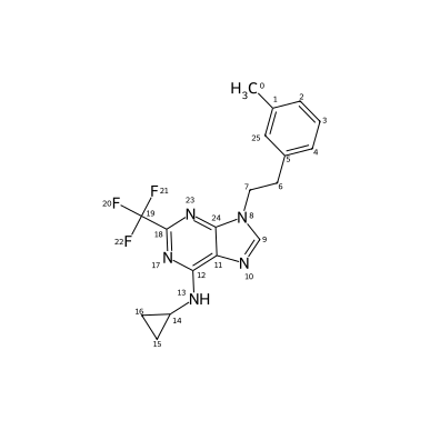 Cc1cccc(CCn2cnc3c(NC4CC4)nc(C(F)(F)F)nc32)c1